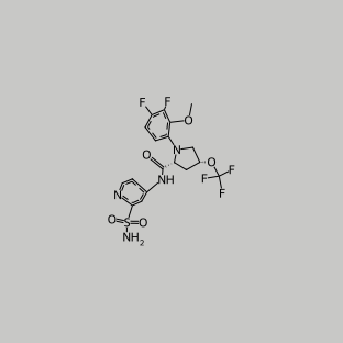 COc1c(N2C[C@H](OC(F)(F)F)C[C@@H]2C(=O)Nc2ccnc(S(N)(=O)=O)c2)ccc(F)c1F